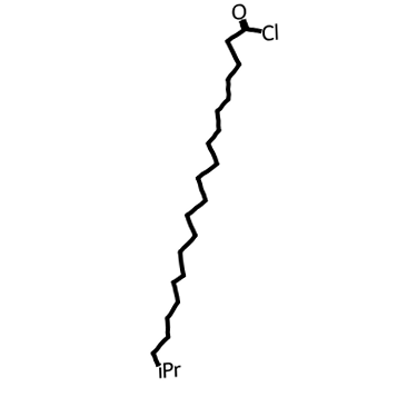 CC(C)CCCCCCCCCCCCCCCCCCCC(=O)Cl